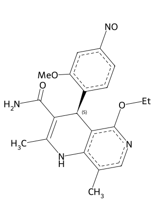 CCOc1ncc(C)c2c1[C@H](c1ccc(N=O)cc1OC)C(C(N)=O)=C(C)N2